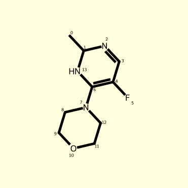 CC1N=CC(F)=C(N2CCOCC2)N1